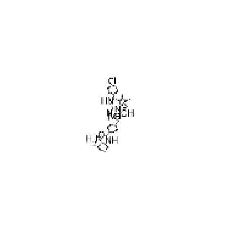 CN/N=C(/C)N(c1sc(C)c(C)c1C(=N)c1ccc(Cl)cc1)C(O)OCc1ccc(C(=O)Nc2ccccc2N)cc1